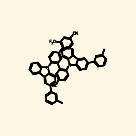 Cc1cccc(-c2ccc3c(c2)c2ccccc2n3-c2ccc(C#N)cc2-c2cc(-c3ccc(C#N)cc3C(F)(F)F)ccc2-n2c3ccccc3c3cc(-c4cccc(C)c4)ccc32)c1